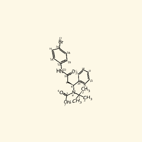 CC(C)(C)N(C(=O)O)[C@@H](CC(=O)Nc1ccc(Br)cc1)c1ccccc1